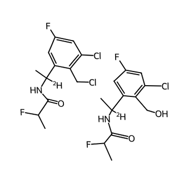 [2H]C(C)(NC(=O)C(C)F)c1cc(F)cc(Cl)c1CCl.[2H]C(C)(NC(=O)C(C)F)c1cc(F)cc(Cl)c1CO